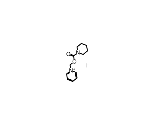 O=C(OC[n+]1ccccc1)N1CCCCC1.[I-]